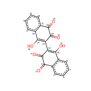 O=C1C(=O)c2ccccc2C(O)=C1C1=C(O)c2ccccc2C(=O)C1=O